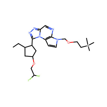 CCC1CC(OCC(F)F)CC1c1nnc2cnc3c(ccn3COCC[Si](C)(C)C)n12